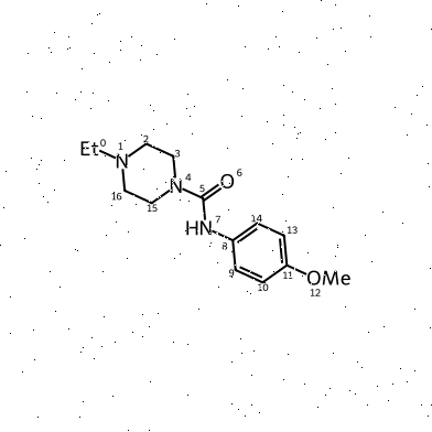 CCN1CCN(C(=O)Nc2ccc(OC)cc2)CC1